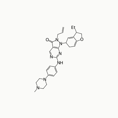 C=CCn1c(=O)c2cnc(Nc3ccc(N4CCN(C)CC4)cc3)nc2n1C1C=C2C(=CC1)OCC2CC